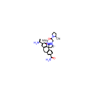 C=C(N)c1ccc2c(c1)CCc1cc(C(N)=O)ccc1C2(C[C@@H](C)NCC(=O)N1CCCC1C#N)/C(N)=N/NC